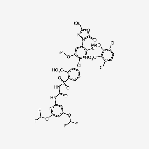 CC(C)Oc1cc(-n2nc(C(C)(C)C)oc2=O)c(Cl)cc1Cl.COc1c(Cl)ccc(Cl)c1C(=O)O.O=C(Nc1nc(OC(F)F)cc(OC(F)F)n1)NS(=O)(=O)c1ccccc1C(=O)O